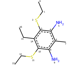 CCSc1c(N)c(C)c(N)c(SCC)c1CC